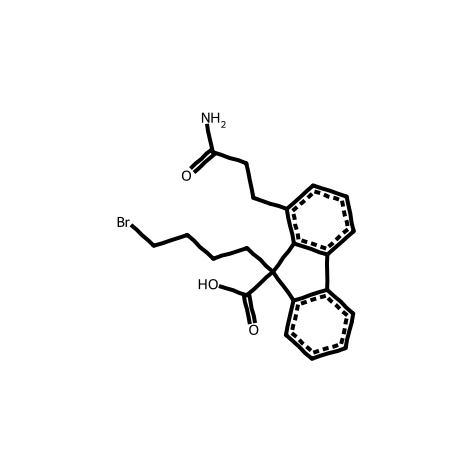 NC(=O)CCc1cccc2c1C(CCCCBr)(C(=O)O)c1ccccc1-2